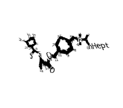 CCCCCCCC(C)[PH](C)(C)Cc1ccc(COC(=O)C(C)SC(=S)c2ccccc2)cc1